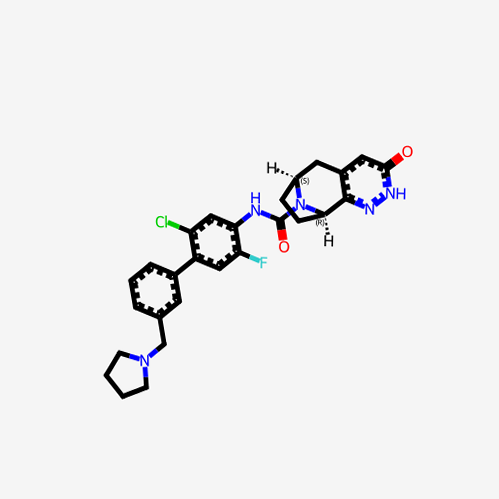 O=C(Nc1cc(Cl)c(-c2cccc(CN3CCCC3)c2)cc1F)N1[C@H]2CC[C@@H]1c1n[nH]c(=O)cc1C2